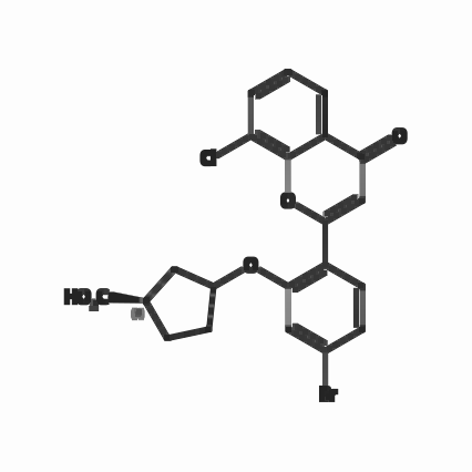 O=C(O)[C@@H]1CCC(Oc2cc(Br)ccc2-c2cc(=O)c3cccc(Cl)c3o2)C1